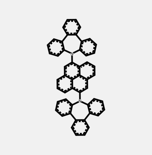 c1ccc2c(c1)-c1ccccc1N(c1cc3cccc4c(N5c6ccccc6-c6ccccc6-c6ccccc65)cc5cccc1c5c34)c1ccccc1-2